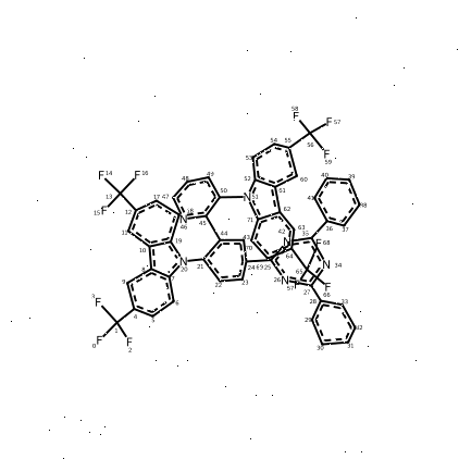 FC(F)(F)c1ccc2c(c1)c1cc(C(F)(F)F)ccc1n2-c1ccc(-c2nc(-c3ccccc3)nc(-c3ccccc3)n2)cc1-c1ncccc1-n1c2ccc(C(F)(F)F)cc2c2cc(C(F)(F)F)ccc21